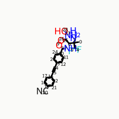 CC(N)(C(F)F)[C@H](NC(=O)c1ccc(C#Cc2ccc(C#N)cc2)cc1)C(=O)NO